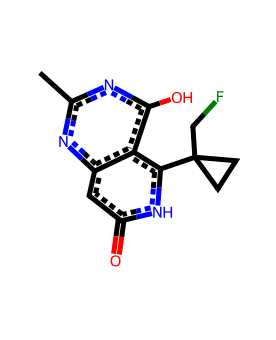 Cc1nc(O)c2c(C3(CF)CC3)[nH]c(=O)cc2n1